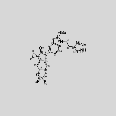 CC(C)(C)c1cc2cc(NC(=O)C3(c4ccc5c(c4)OC(F)(F)O5)CC3)ccc2n1CCc1nn[nH]n1